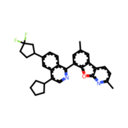 Cc1cc(-c2ncc(C3CCCC3)c3cc(C4CCC(F)(F)C4)ccc23)c2oc3nc(C)ccc3c2c1